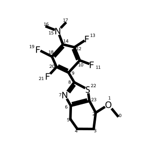 COC1CCCc2nc(-c3c(F)c(F)c(N(C)C)c(F)c3F)sc21